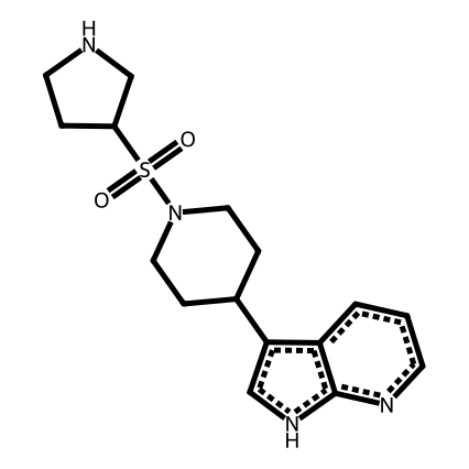 O=S(=O)(C1CCNC1)N1CCC(c2c[nH]c3ncccc23)CC1